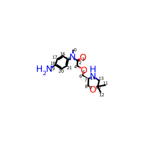 CN(C(=O)COC[C@@H]1COC(C)(C)CN1)c1ccc(N)cc1